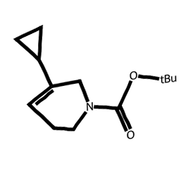 CC(C)(C)OC(=O)N1CCC=C(C2CC2)C1